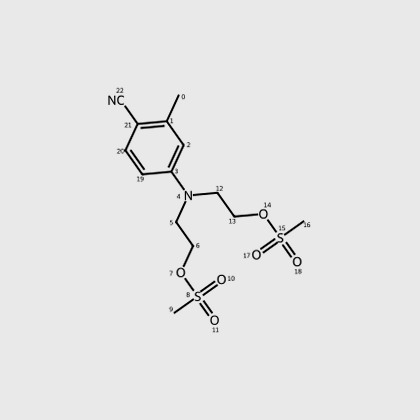 Cc1cc(N(CCOS(C)(=O)=O)CCOS(C)(=O)=O)ccc1C#N